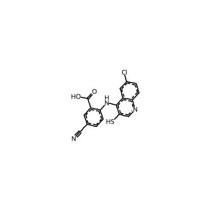 N#Cc1ccc(Nc2c(S)cnc3ccc(Cl)cc23)c(C(=O)O)c1